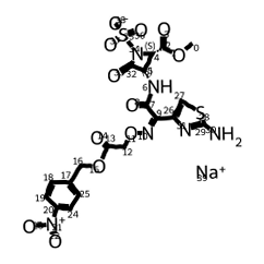 COC(=O)[C@@H]1[C@H](NC(=O)C(=NOCC(=O)OCc2ccc([N+](=O)[O-])cc2)c2csc(N)n2)C(=O)N1S(=O)(=O)[O-].[Na+]